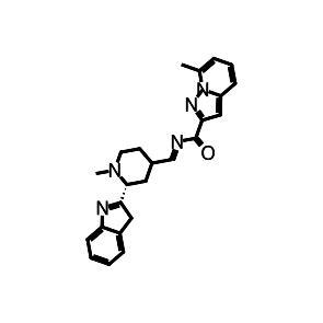 Cc1cccc2cc(C(=O)/N=C/C3CCN(C)[C@@H](C4=Nc5ccccc5C4)C3)nn12